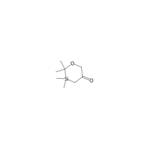 CC1(C)OCC(=O)C[Si]1(C)C